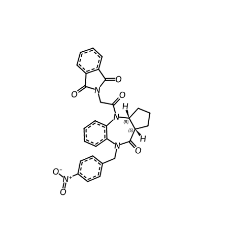 O=C1c2ccccc2C(=O)N1CC(=O)N1c2ccccc2N(Cc2ccc([N+](=O)[O-])cc2)C(=O)[C@H]2CCC[C@H]21